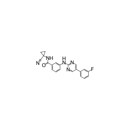 N#CC1(NC(=O)c2cccc(Nc3ncc(-c4cccc(F)c4)cn3)c2)CC1